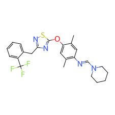 Cc1cc(Oc2nc(Cc3ccccc3C(F)(F)F)ns2)c(C)cc1/N=C/N1CCCCC1